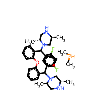 CPC.C[C@@H]1CN[C@@H](C)CN1C(c1ccc(F)cc1)c1ccccc1Oc1ccccc1C(c1ccc(F)cc1)N1C[C@H](C)NC[C@H]1C